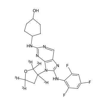 [2H]C1([2H])CC([2H])(n2c(Nc3c(F)cc(F)cc3F)nc3cnc(NC4CCC(O)CC4)nc32)C([2H])([2H])O1